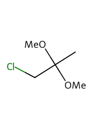 COC(C)(CCl)OC